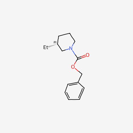 CC[C@@H]1CCCN(C(=O)OCc2ccccc2)C1